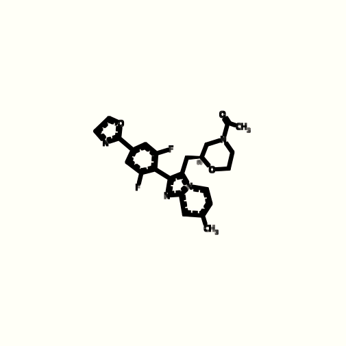 CC(=O)N1CCO[C@@H](Cc2c(-c3c(F)cc(-c4ncco4)cc3F)nc3cc(C)ccn23)C1